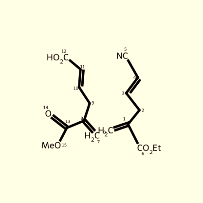 C=C(CC=CC#N)C(=O)OCC.C=C(CC=CC(=O)O)C(=O)OC